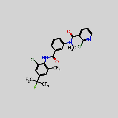 CN(C(=O)c1cccnc1Cl)c1cccc(C(=O)Nc2c(Cl)cc(C(F)(C(F)(F)F)C(F)(F)F)cc2C(F)(F)F)c1